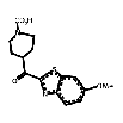 COc1ccc2nc(C(=O)C3CCN(C(=O)O)CC3)sc2c1